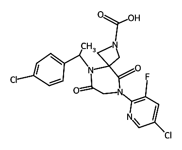 CC(c1ccc(Cl)cc1)N1C(=O)CN(c2ncc(Cl)cc2F)C(=O)C12CN(C(=O)O)C2